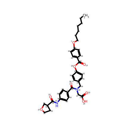 CCCCCCCOc1ccc(C(=O)Oc2ccc(CN(CC(=O)O)C(=O)c3ccc(NC(=O)C4CCOC4)cc3)cc2)cc1